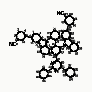 N#Cc1cccc(-c2ccc3c(c2)c2ccccc2n3-c2ccccc2-c2ccc(-c3cc(-c4ccccc4)nc(-c4ccccc4)n3)cc2-n2c3ccccc3c3cc(-c4cccc(C#N)c4)ccc32)c1